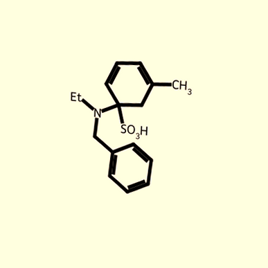 CCN(Cc1ccccc1)C1(S(=O)(=O)O)C=CC=C(C)C1